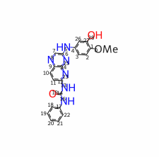 COc1ccc(Nc2cnc3ccc(NC(=O)Nc4ccccc4)nc3n2)cc1O